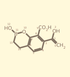 C=C(O)c1ccc2c(c1C(=O)O)OB(O)CC2